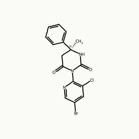 C[C@@]1(c2ccccc2)CC(=O)N(c2ncc(Br)cc2Cl)C(=O)N1